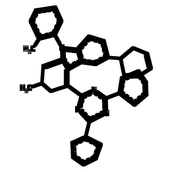 Cc1ccccc1-n1c2c(c3cc(C4C=CC=CC4)ccc31)=C(c1nc(-c3ccccc3)nc(-c3ccccc3)n1)CC(C)C=2